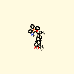 C[C@H](CC(=O)C(C#N)=P(c1ccccc1)(c1ccccc1)c1ccccc1)[C@H]1CC[C@H]2C3CC[C@H]4C(C)(C)C(O)CCC45CC35CCC12C